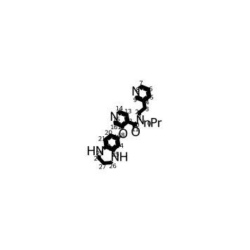 CCCN(CCc1cccnc1)C(=O)c1ccncc1Oc1ccc2c(c1)NCCCN2